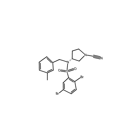 Cc1cccc(CN([C@@H]2CCN(C#N)C2)S(=O)(=O)c2cc(Br)ccc2Br)c1